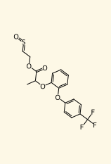 CC(Oc1ccccc1Oc1ccc(C(F)(F)F)cc1)C(=O)OCC=S=O